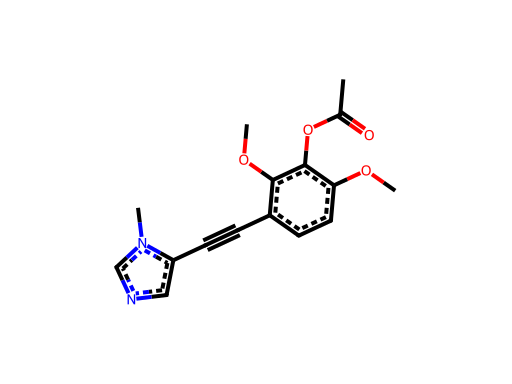 COc1ccc(C#Cc2cncn2C)c(OC)c1OC(C)=O